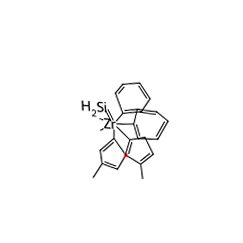 CC1=CC[C]([Zr]([CH3])([CH3])(=[SiH2])([C]2=CC(C)=CC2)([c]2ccccc2)[c]2ccccc2)=C1